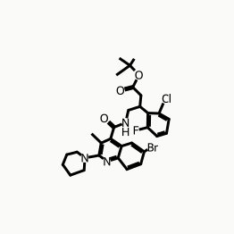 Cc1c(N2CCCCC2)nc2ccc(Br)cc2c1C(=O)NCC(CC(=O)OC(C)(C)C)c1c(F)cccc1Cl